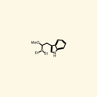 CCN(CC)C(Cc1c[nH]c2ccccc12)OC